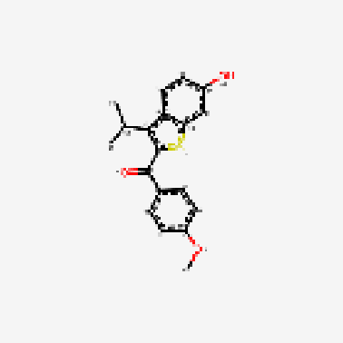 COc1ccc(C(=O)c2sc3cc(O)ccc3c2C(C)C)cc1